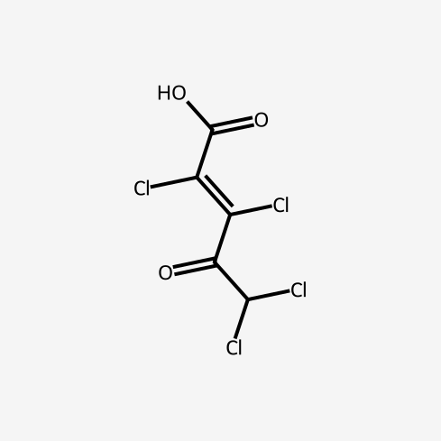 O=C(O)/C(Cl)=C(\Cl)C(=O)C(Cl)Cl